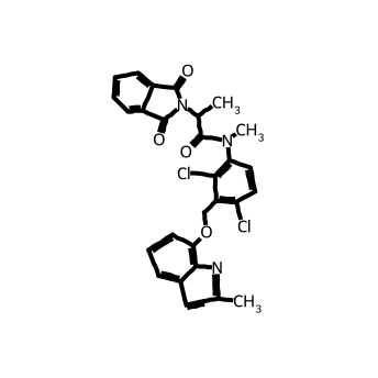 Cc1ccc2cccc(OCc3c(Cl)ccc(N(C)C(=O)C(C)N4C(=O)c5ccccc5C4=O)c3Cl)c2n1